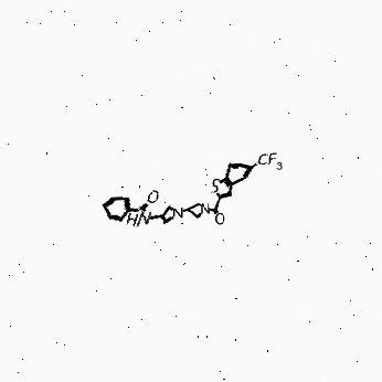 O=C(NC1CN(C2CN(C(=O)c3cc4cc(C(F)(F)F)ccc4s3)C2)C1)c1ccccc1